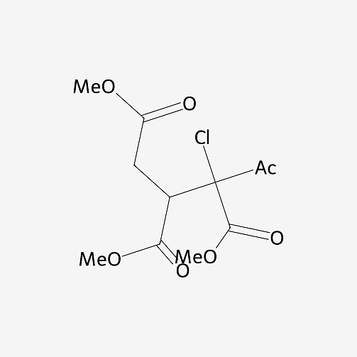 COC(=O)CC(C(=O)OC)C(Cl)(C(C)=O)C(=O)OC